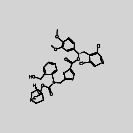 COc1ccc([C@H](Cc2c(Cl)cncc2Cl)OC(=O)c2ccc(CN(C(=O)O[C@H]3CN4CCC3CC4)c3ccccc3CO)s2)cc1OC